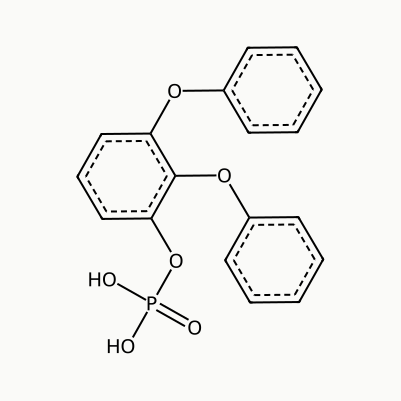 O=P(O)(O)Oc1cccc(Oc2ccccc2)c1Oc1ccccc1